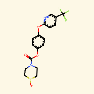 O=C(Oc1ccc(Oc2ccc(C(F)(F)F)cn2)cc1)N1CC[S+]([O-])CC1